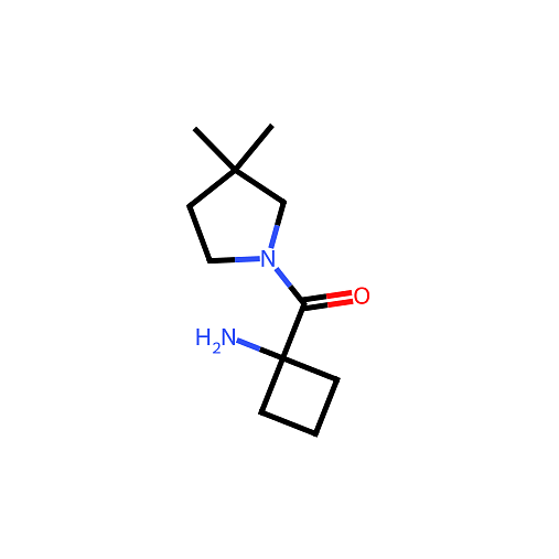 CC1(C)CCN(C(=O)C2(N)CCC2)C1